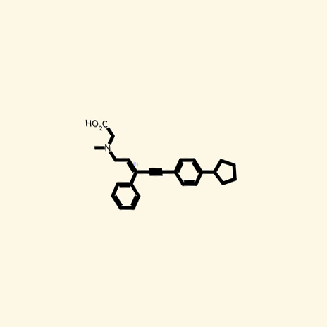 CN(C/C=C(/C#Cc1ccc(C2CCCC2)cc1)c1ccccc1)CC(=O)O